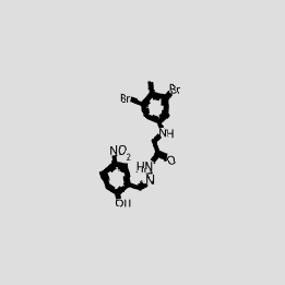 Cc1c(Br)cc(NCC(=O)N/N=C\c2cc([N+](=O)[O-])ccc2O)cc1Br